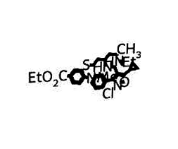 CCNC(C)CC(CCSc1cc(C(=O)OCC)ccc1NC)NCc1c(-c2ccccc2Cl)noc1C1CC1